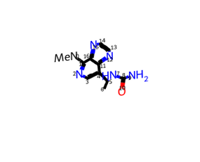 CNc1ncc(C(C)NC(N)=O)c2nccnc12